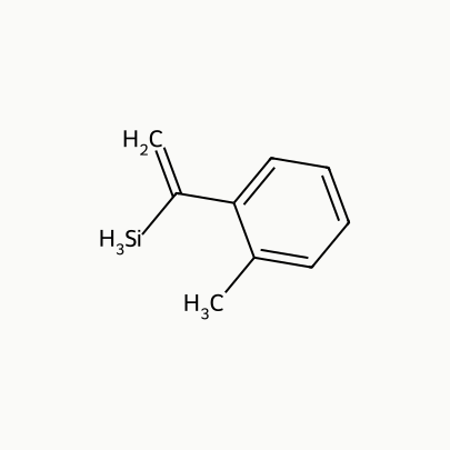 C=C([SiH3])c1ccccc1C